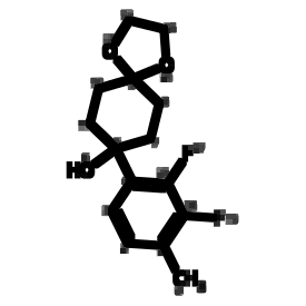 Cc1ccc(C2(O)CCC3(CC2)OCCO3)c(F)c1F